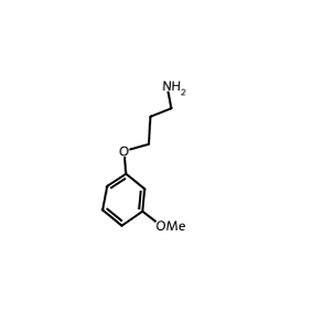 COc1cccc(OCCCN)c1